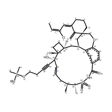 C=C1/C(=C\C(Cl)=C/C)CCC[C@]12COc1ccc3cc1N(C[C@@H]1CC[C@H]1[C@](O)(C#CCCO[Si](C)(C)C(C)(C)C)/C=C/C[C@H](C)[C@@H](C)S(=O)(=O)NC3=O)C2